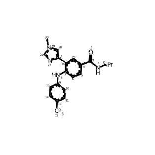 CC(C)NC(=O)c1ccc(Nc2ccc(C(F)(F)F)cc2)c(-c2cn(C)cn2)c1